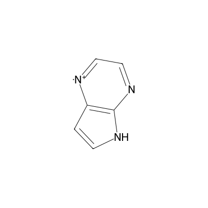 C1=Nc2[nH]ccc2[N+]=C1